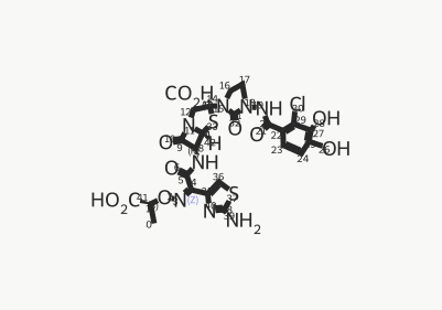 C[C@H](O/N=C(\C(=O)N[C@@H]1C(=O)N2C[C@@](C(=O)O)(N3CCN(NC(=O)c4ccc(O)c(O)c4Cl)C3=O)S[C@H]12)c1csc(N)n1)C(=O)O